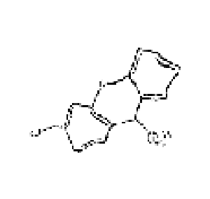 O=C(O)C1c2ccccc2Oc2cc(Cl)ccc21